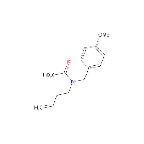 C=CCCN(Cc1ccc(OC)cc1)C(=O)C(=O)O